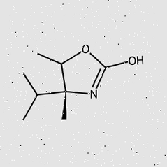 CC(C)[C@@]1(C)N=C(O)OC1C